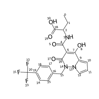 CCC(NC(=O)c1c(O)c2cccn2n(Cc2ccc(C(F)(F)F)cc2)c1=O)C(=O)O